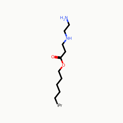 CC(C)CCCCCOC(=O)CCNCCN